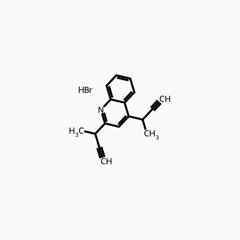 Br.C#CC(C)c1cc(C(C)C#C)c2ccccc2n1